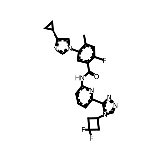 Cc1cc(F)c(C(=O)Nc2cccc(-c3nncn3C3CC(F)(F)C3)n2)cc1-n1cnc(C2CC2)c1